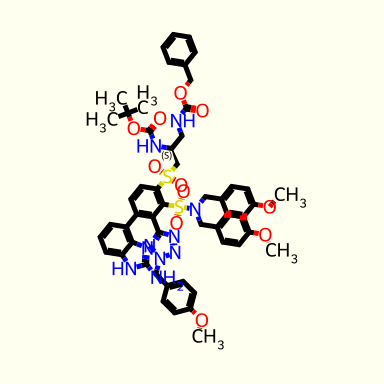 COc1ccc(CN(Cc2ccc(OC)cc2)S(=O)(=O)c2c(S(=O)(=O)C[C@H](CNC(=O)OCc3ccccc3)NC(=O)OC(C)(C)C)ccc(-c3cccc4[nH]c(N)nc34)c2-c2nnn(Cc3ccc(OC)cc3)n2)cc1